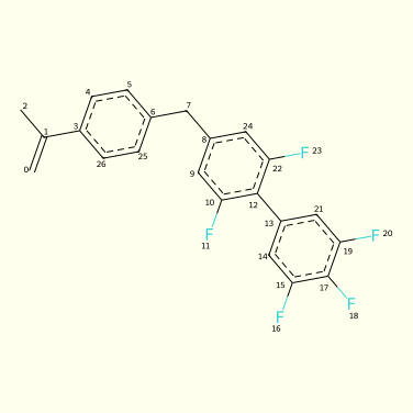 C=C(C)c1ccc(Cc2cc(F)c(-c3cc(F)c(F)c(F)c3)c(F)c2)cc1